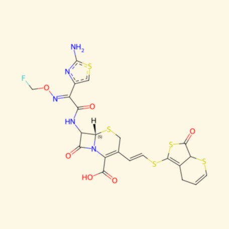 Nc1nc(C(=NOCF)C(=O)NC2C(=O)N3C(C(=O)O)=C(C=CSC4=C5CC=CSC5C(=O)S4)CS[C@@H]23)cs1